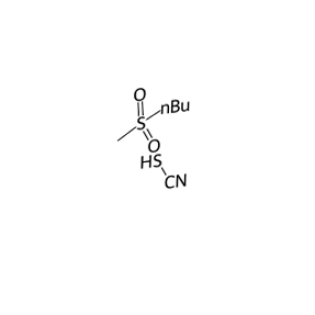 CCCCS(C)(=O)=O.N#CS